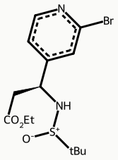 CCOC(=O)C[C@H](N[S+]([O-])C(C)(C)C)c1ccnc(Br)c1